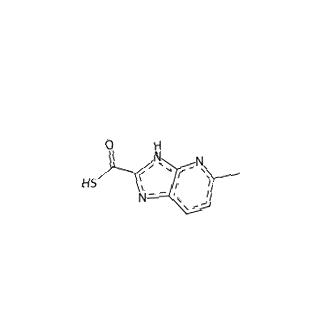 Cc1ccc2nc(C(=O)S)[nH]c2n1